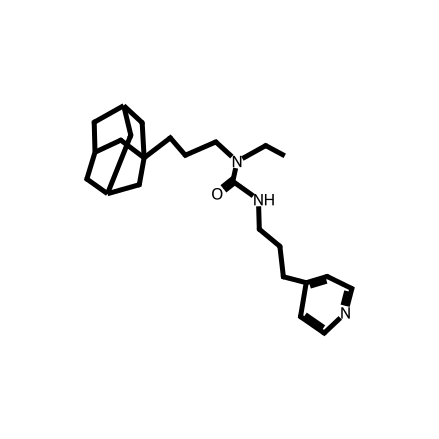 CCN(CCCC12CC3CC(CC(C3)C1)C2)C(=O)NCCCc1ccncc1